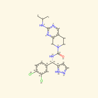 CC(C)Nc1ncc2c(n1)CN(C(=O)N[C@@H](c1ccc(Cl)c(Cl)c1)c1ccn[nH]1)CC2